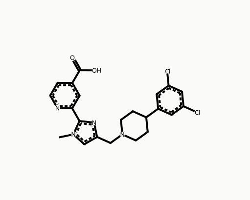 Cn1cc(CN2CCC(c3cc(Cl)cc(Cl)c3)CC2)nc1-c1cc(C(=O)O)ccn1